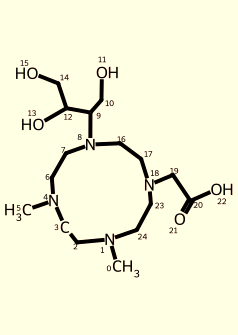 CN1CCN(C)CCN(C(CO)C(O)CO)CCN(CC(=O)O)CC1